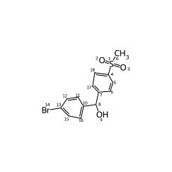 CS(=O)(=O)c1ccc(C(O)c2ccc(Br)cc2)cc1